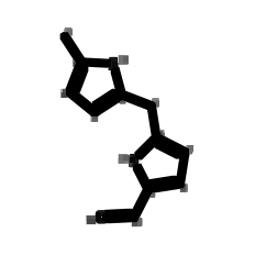 Cc1ccc(Cc2ccc(C=O)s2)s1